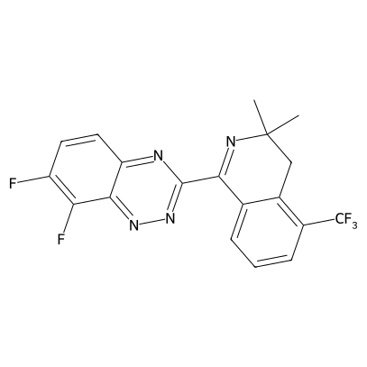 CC1(C)Cc2c(cccc2C(F)(F)F)C(c2nnc3c(F)c(F)ccc3n2)=N1